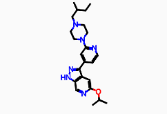 CCC(C)CN1CCN(c2cc(-c3n[nH]c4cnc(OC(C)C)cc34)ccn2)CC1